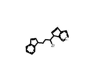 [Zr][CH](CCC1C=Cc2ccccc21)C1C=Cc2ccccc21